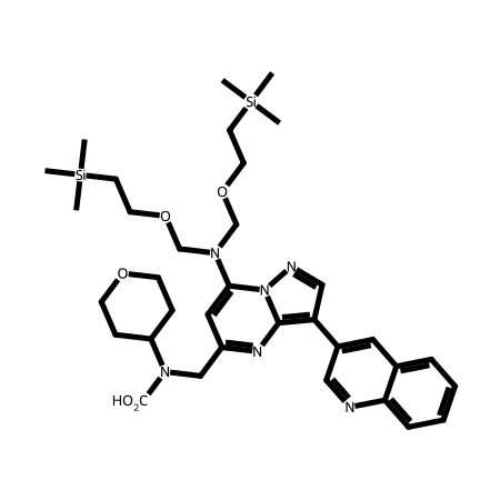 C[Si](C)(C)CCOCN(COCC[Si](C)(C)C)c1cc(CN(C(=O)O)C2CCOCC2)nc2c(-c3cnc4ccccc4c3)cnn12